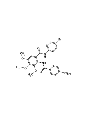 COc1cc(C(=O)Nc2ccc(Br)cn2)c(NC(=O)c2ccc(C#N)cc2)c(OC)c1OC